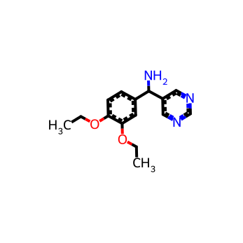 CCOc1ccc(C(N)c2cncnc2)cc1OCC